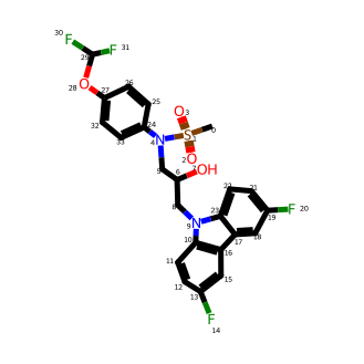 CS(=O)(=O)N(CC(O)Cn1c2ccc(F)cc2c2cc(F)ccc21)c1ccc(OC(F)F)cc1